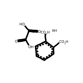 O=C(O)C(=O)O.O=C(O)c1ccccc1C(=O)O.[KH]